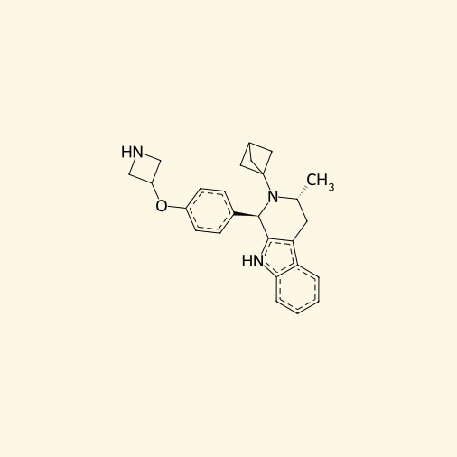 C[C@@H]1Cc2c([nH]c3ccccc23)[C@@H](c2ccc(OC3CNC3)cc2)N1C12CC(C1)C2